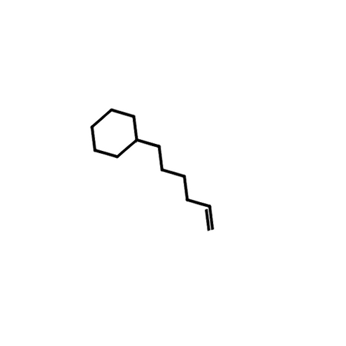 C=CCCCC[C]1CCCCC1